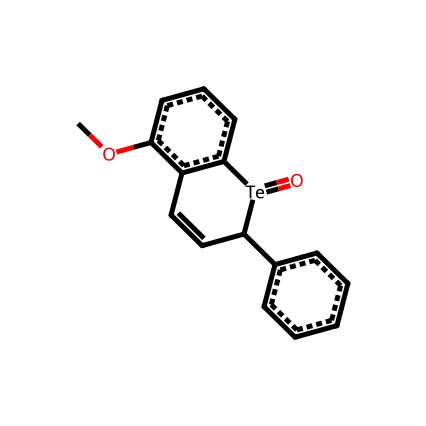 COc1cccc2c1C=CC(c1ccccc1)[Te]2=O